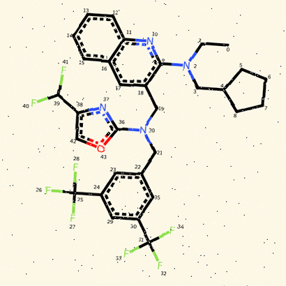 CCN(CC1CCCC1)c1nc2ccccc2cc1CN(Cc1cc(C(F)(F)F)cc(C(F)(F)F)c1)c1nc(C(F)F)co1